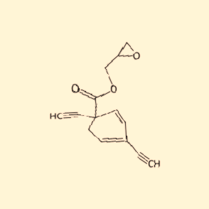 C#CC1=CCC(C#C)(C(=O)OCC2CO2)C=C1